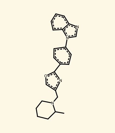 CC1CCCCN1Cc1coc(-c2ccc(-n3cnc4ccccc43)cc2)n1